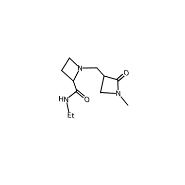 CCNC(=O)C1CCN1CC1CN(C)C1=O